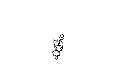 CN1CCc2nc(NC3(C)COC3)ncc2C1